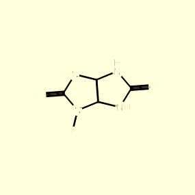 O=C1NC2NC(=O)N(I)C2N1